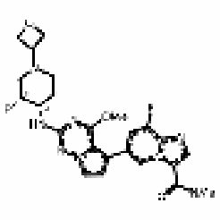 CNC(=O)c1cnc2c(F)cc(-c3ccn4nc(N[C@H]5CCN(C6COC6)C[C@H]5F)nc(OC)c34)cn12